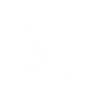 COC(=O)c1cc(-c2ccc(S(=O)(=O)N3CCOCC3)cc2)c2nc(C)n(C/C(F)=C/CN)c2c1.Cl